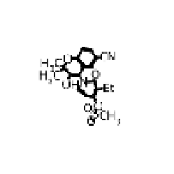 CCc1c(OS(C)(=O)=O)ccn(C2c3cc(C#N)ccc3OC(C)(C)C2O)c1=O